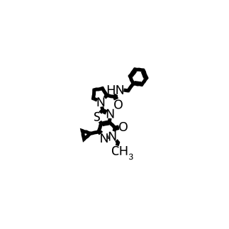 CCn1nc(C2CC2)c2sc(N3CCCC3C(=O)NCc3ccccc3)nc2c1=O